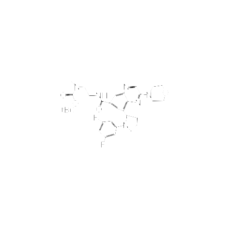 CN(CCNC(=O)c1cc(C2CCCN2c2cc(F)cc(F)c2)c2nc(N3CCOCC3)cnc2c1)C(=O)OC(C)(C)C